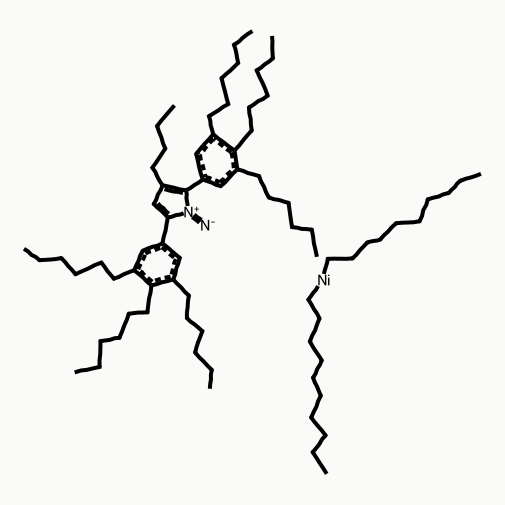 CCCCCCCCC[CH2][Ni][CH2]CCCCCCCCC.CCCCCCc1cc(C2=CC(CCCC)=C(c3cc(CCCCCC)c(CCCCCC)c(CCCCCC)c3)[N+]2=[N-])cc(CCCCCC)c1CCCCCC